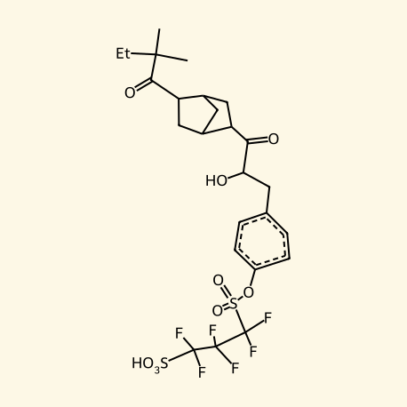 CCC(C)(C)C(=O)C1CC2CC1CC2C(=O)C(O)Cc1ccc(OS(=O)(=O)C(F)(F)C(F)(F)C(F)(F)S(=O)(=O)O)cc1